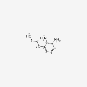 Nc1cccc(OCCO)c1N